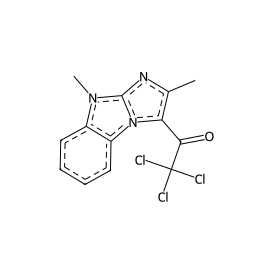 Cc1nc2n(C)c3ccccc3n2c1C(=O)C(Cl)(Cl)Cl